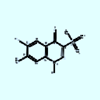 Cn1cc(S(=O)(=O)Cl)c(=O)c2cc(F)c(Cl)cc21